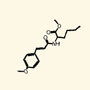 CCCCC(NC(=O)C=Cc1ccc(OC)cc1)C(=O)OC